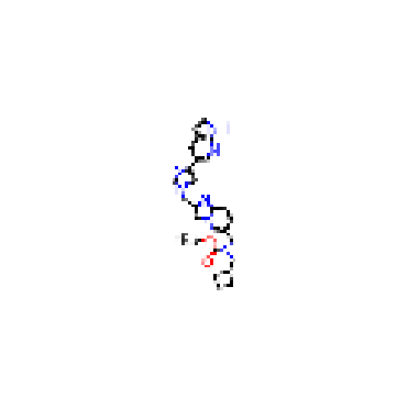 CC(C)(C)OC(=O)N(Cc1ccc2nc(Cn3cnc(-c4cnc5[nH]ccc5c4)c3)cn2c1)CC1CCC1